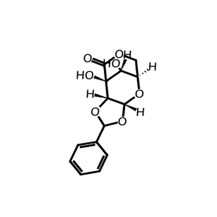 O=C1OC[C@H]2O[C@@H]3OC(c4ccccc4)O[C@@H]3[C@@]1(O)[C@@H]2O